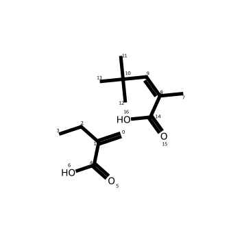 C=C(CC)C(=O)O.CC(=CC(C)(C)C)C(=O)O